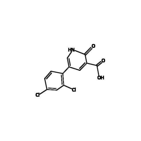 O=C(O)c1cc(-c2ccc(Cl)cc2Cl)c[nH]c1=O